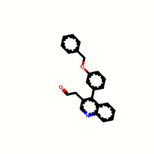 O=CCc1cnc2ccccc2c1-c1cccc(OCc2ccccc2)c1